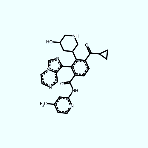 O=C(Nc1cc(C(F)(F)F)ccn1)c1ccc(C(=O)C2CC2)c(C2CNCC(O)C2)c1-c1ncn2ccncc12